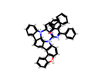 c1ccc(-c2ccc(-n3c4ccccc4c4ccc5c6c7c(ccc6n(-c6nc(-c8ccccc8)c8ccccc8n6)c5c43)oc3ccccc37)cc2)cc1